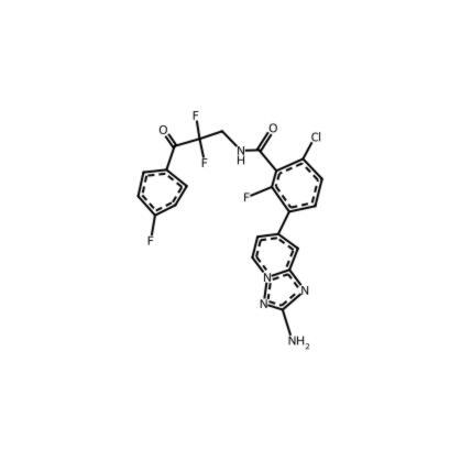 Nc1nc2cc(-c3ccc(Cl)c(C(=O)NCC(F)(F)C(=O)c4ccc(F)cc4)c3F)ccn2n1